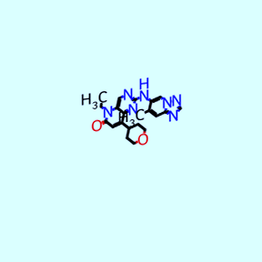 CCn1c(=O)cc(C2CCOCC2)c2nc(Nc3cn4ncnc4cc3C)ncc21